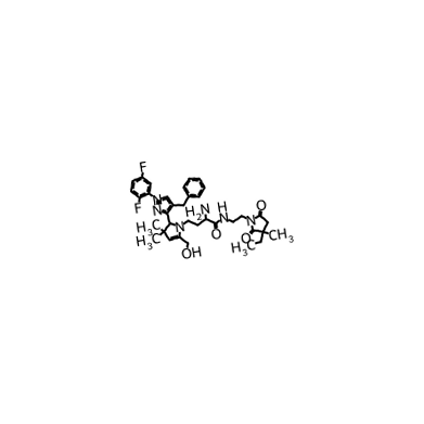 CCC1(C)CC(=O)N(CCNC(=O)C(N)CCN2C(CO)=CC(C)(C)C2c2nn(-c3cc(F)ccc3F)cc2Cc2ccccc2)C1=O